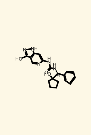 O=C(Nc1cc2[nH]nc(O)c2cn1)N[C@@H](c1ccccc1)C1(O)CCCC1